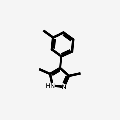 Cc1cccc(-c2c(C)n[nH]c2C)c1